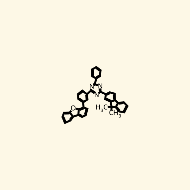 CC1(C)c2ccccc2-c2ccc(-c3nc(-c4ccccc4)nc(-c4cccc(-c5cccc6c5oc5ccccc56)c4)n3)cc21